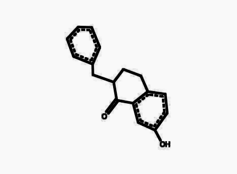 O=C1c2cc(O)ccc2CCC1Cc1ccccc1